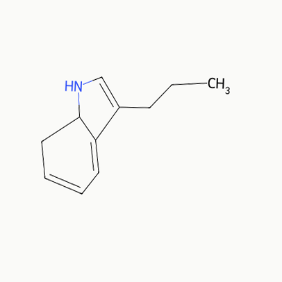 CCCC1=CNC2CC=CC=C12